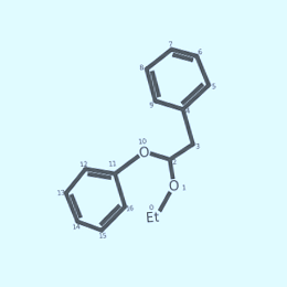 CCOC(Cc1ccccc1)Oc1ccccc1